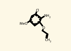 C=CCOc1cc(OC)cc(Cl)c1N